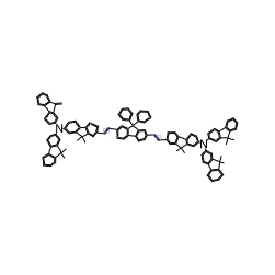 C=C1c2ccccc2-c2ccc(N(c3ccc4c(c3)C(C)(C)c3ccccc3-4)c3ccc4c(c3)C(C)(C)c3cc(/C=C/c5ccc6c(c5)C(c5ccccc5)(c5ccccc5)c5cc(/C=C/c7ccc8c(c7)C(C)(C)c7cc(N(c9ccc%10c(c9)C(C)(C)c9ccccc9-%10)c9ccc%10c(c9)C(C)(C)c9ccccc9-%10)ccc7-8)ccc5-6)ccc3-4)cc21